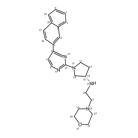 c1ccc2cc(-c3ccnc(N4CC[C@H](NCCN5CCOCC5)C4)n3)ccc2c1